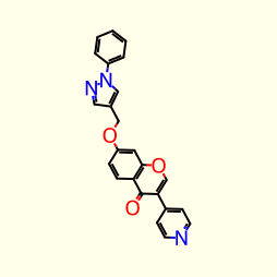 O=c1c(-c2ccncc2)coc2cc(OCc3cnn(-c4ccccc4)c3)ccc12